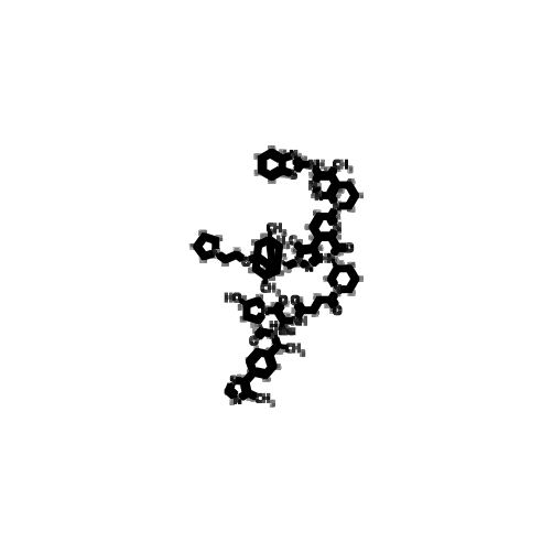 Cc1ncsc1-c1ccc([C@H](C)NC(=O)[C@@H]2C[C@@H](O)CN2C(=O)[C@@H](NC(=O)CCC(=O)N2CCC[C@@H](NC(=O)c3nc(N4CCCc5c4nnc(Nc4nc6ccccc6s4)c5C)ccc3-c3cnn(C[C@@]45CC6(OCCN7CCCC7)C[C@@](C)(C[C@@](C)(C6)C4)C5)c3C)C2)C(C)(C)C)cc1